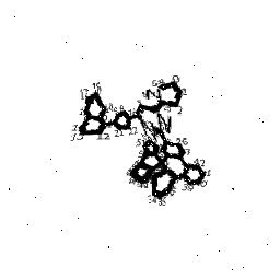 c1ccc(-c2cc(-c3ccc(-c4cccc5ccccc45)cc3)nc(-c3ccc4c(c3)C3(c5ccccc5-c5ccccc5-4)c4ccccc4-c4ccccc43)n2)nc1